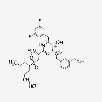 CCCC(CCC)S(=O)(=O)CC(N)C(=O)N[C@@H](Cc1cc(F)cc(F)c1)[C@H](O)CNCc1cccc(CC)c1.Cl